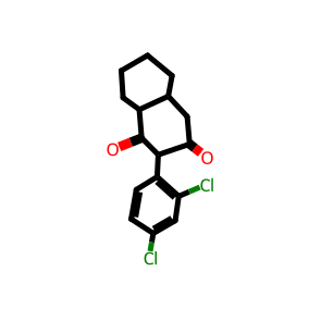 O=C1CC2CCCCC2C(=O)C1c1ccc(Cl)cc1Cl